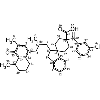 Cc1cn(C[C@H](C)CC2Cc3ccccc3C23CCC(Nc2cccc(Cl)c2)(C(=O)O)CC3)c2c(c1=O)C(C)CCC2